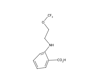 O=C(O)c1ccccc1NCCOC(F)(F)F